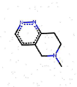 CN1CCc2nnccc2C1